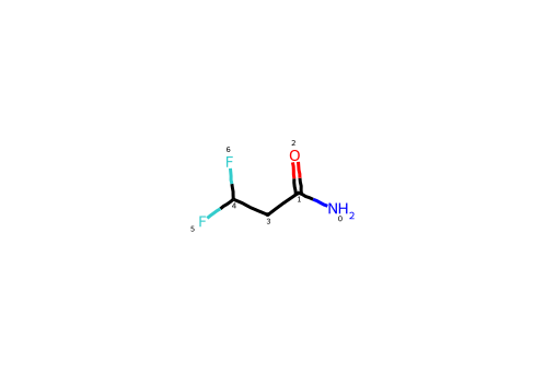 NC(=O)CC(F)F